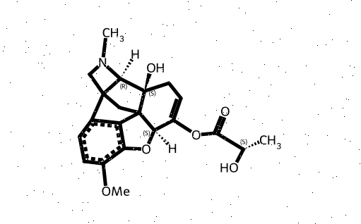 COc1ccc2c3c1O[C@@H]1C(OC(=O)[C@H](C)O)=CC[C@@]4(O)[C@@H]5N(C)CC25CC314